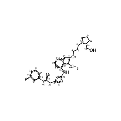 Cc1c(OCCCN2CCC[C@H]2CO)cn2ncnc(Nc3ncc(CC(=O)Nc4cccc(F)c4)s3)c12